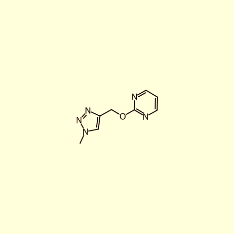 Cn1cc(COc2ncccn2)nn1